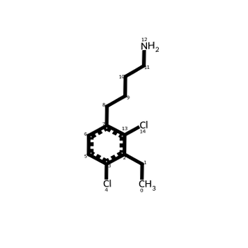 CCc1c(Cl)ccc(CCCCN)c1Cl